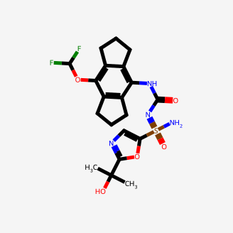 CC(C)(O)c1ncc(S(N)(=O)=NC(=O)Nc2c3c(c(OC(F)F)c4c2CCC4)CCC3)o1